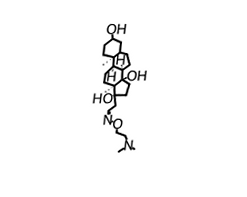 CN(C)CCO/N=C\CC1(O)CC[C@@]2(O)[C@@H]3CCC4CC(O)CC[C@]4(C)[C@@H]3CC[C@]12C